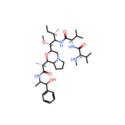 CC[C@H](C)C(NC(=O)[C@@H](NC(=O)[C@H](NC)C(C)C)C(C)C)[C@@H](OC)C1CN2CCCC2C([C@@H](C)C(=O)NC(C)C(O)c2ccccc2)O1